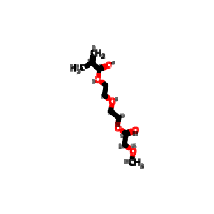 C=C(C)C(=O)OCCOCCOC(=O)COC